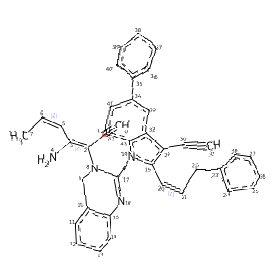 C#C/C(=C(N)\C=C/C)N1Cc2ccccc2N=C1n1c(/C=C\Cc2ccccc2)c(C#C)c2cc(-c3ccccc3)ccc21